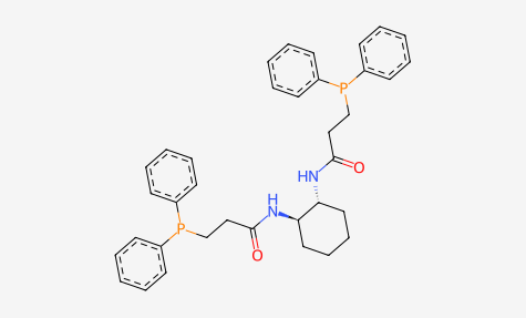 O=C(CCP(c1ccccc1)c1ccccc1)N[C@@H]1CCCC[C@H]1NC(=O)CCP(c1ccccc1)c1ccccc1